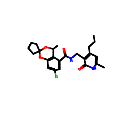 CCCc1cc(C)[nH]c(=O)c1CNC(=O)c1cc(Cl)cc2c1C(C)OC1(CCCC1)O2